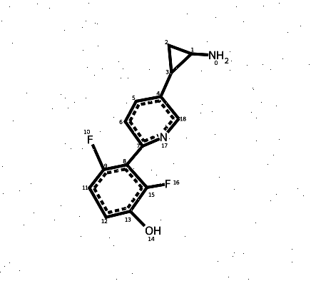 NC1CC1c1ccc(-c2c(F)ccc(O)c2F)nc1